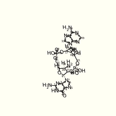 Nc1nc2c(ncn2[C@@H]2O[C@@H]3COP(=O)(O)O[C@@H]4[C@H](O)[C@@H](COP(=O)(O)O[C@@H]2[C@@H]3N)O[C@H]4n2cnc3c(N)ncnc32)c(=O)[nH]1